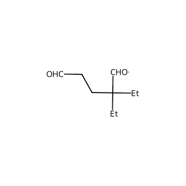 CCC([C]=O)(CC)CCC=O